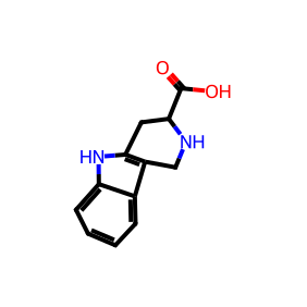 O=C(O)C1Cc2[nH]c3ccccc3c2CN1